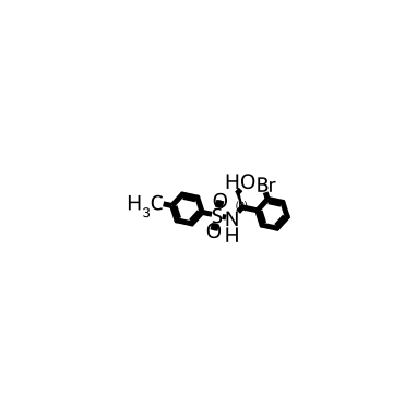 Cc1ccc(S(=O)(=O)N[C@@H](CO)c2ccccc2Br)cc1